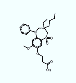 CCCCC1(CC)CN(c2ccccc2)c2cc(OC)c(OCCC(=O)O)cc2S(=O)(=O)C1